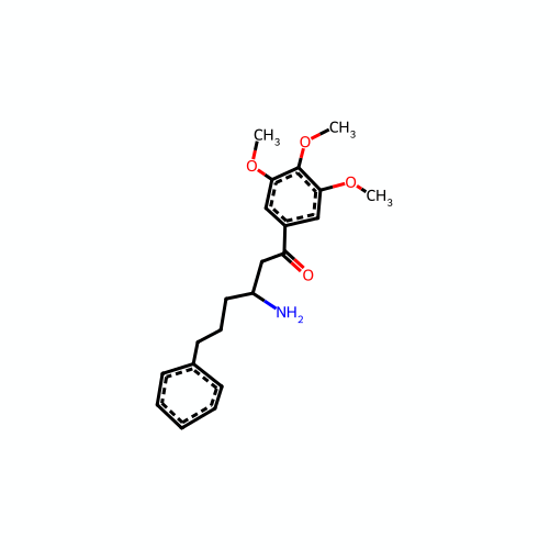 COc1cc(C(=O)CC(N)CCCc2ccccc2)cc(OC)c1OC